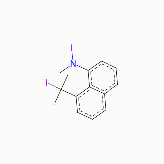 CN(I)c1cccc2cccc(C(C)(C)I)c12